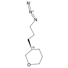 [N-]=[N+]=NCCC[C@H]1CCCOC1